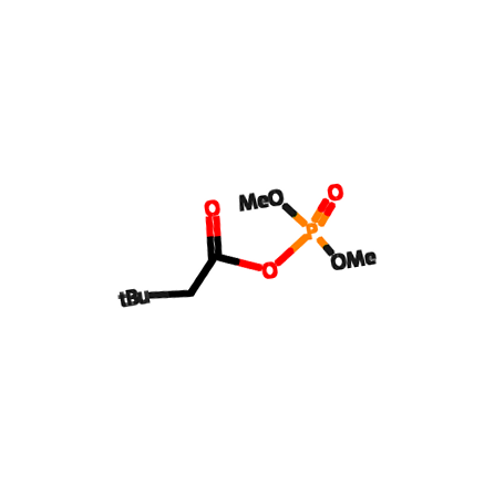 COP(=O)(OC)OC(=O)CC(C)(C)C